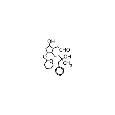 CC(O)(CCC1C(OC2CCCCO2)CC(O)C1CC=O)Cc1ccccc1